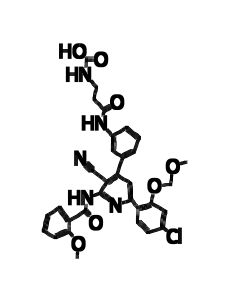 COCOc1cc(Cl)ccc1-c1cc(-c2cccc(NC(=O)CCNC(=O)O)c2)c(C#N)c(NC(=O)c2ccccc2OC)n1